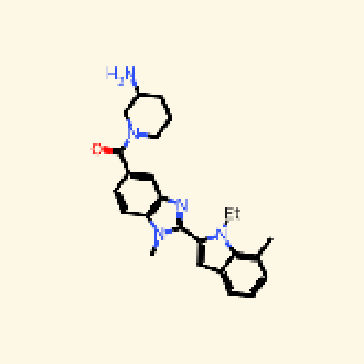 CCn1c(-c2nc3cc(C(=O)N4CCCC(N)C4)ccc3n2C)cc2cccc(C)c21